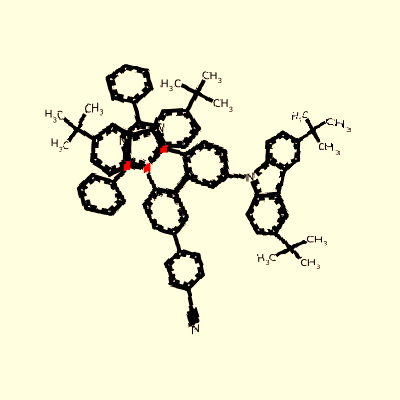 CC(C)(C)c1ccc2c(c1)c1cc(C(C)(C)C)ccc1n2-c1ccc(-c2nc(-c3ccccc3)nc(-c3ccccc3)n2)c(-c2cc(-c3ccc(C#N)cc3)ccc2-n2c3ccc(C(C)(C)C)cc3c3cc(C(C)(C)C)ccc32)c1